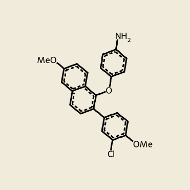 COc1ccc2c(Oc3ccc(N)cc3)c(-c3ccc(OC)c(Cl)c3)ccc2c1